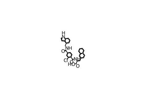 O=C(O)C(=Cc1ccc2ccccc2c1)NC(=O)c1ccc(C(=O)NCc2cccc3[nH]ccc23)cc1Cl